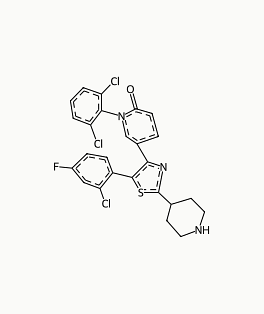 O=c1ccc(-c2nc(C3CCNCC3)sc2-c2ccc(F)cc2Cl)cn1-c1c(Cl)cccc1Cl